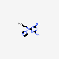 CCCN(c1nc(N)nc(N)n1)n1ccnc1